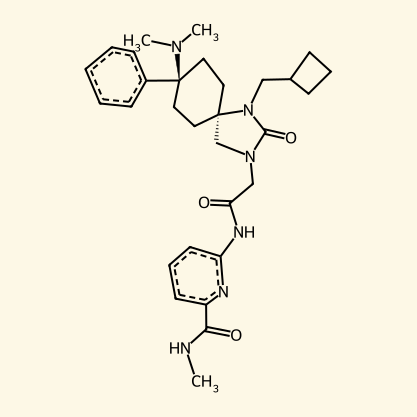 CNC(=O)c1cccc(NC(=O)CN2C[C@]3(CC[C@](c4ccccc4)(N(C)C)CC3)N(CC3CCC3)C2=O)n1